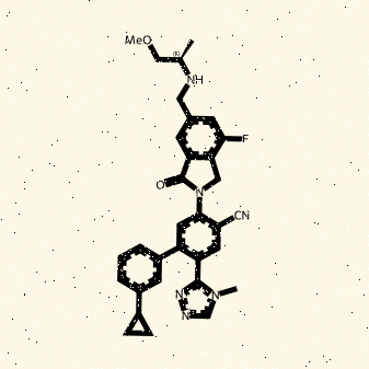 COC[C@@H](C)NCc1cc(F)c2c(c1)C(=O)N(c1cc(-c3cccc(C4CC4)c3)c(-c3nncn3C)cc1C#N)C2